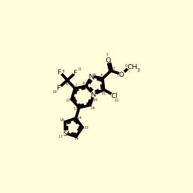 COC(=O)c1nc2c(C(F)(F)F)cc(-c3ccsc3)cn2c1Cl